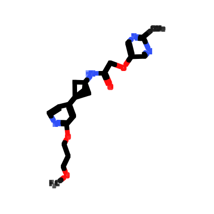 COc1ncc(OCC(=O)NC23CC(c4ccnc(OCCCOC(F)(F)F)c4)(C2)C3)cn1